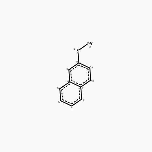 CC(C)Sc1[c]c2ccccc2cc1